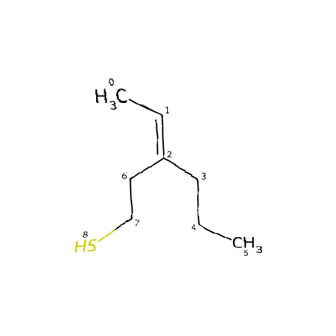 C/C=C(/CCC)CCS